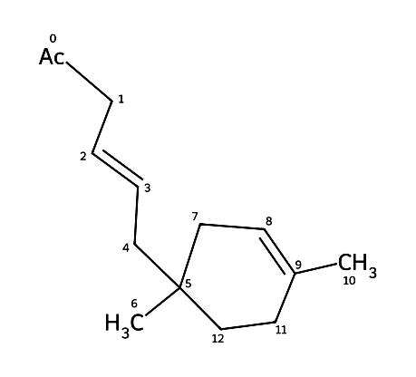 CC(=O)CC=CCC1(C)CC=C(C)CC1